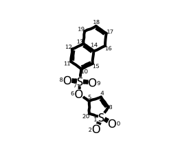 O=S1(=O)C=CC(OS(=O)(=O)c2ccc3c(c2)CC=CC3)C1